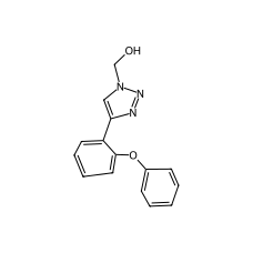 OCn1cc(-c2ccccc2Oc2ccccc2)nn1